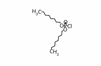 CCCCCCCCOP(=O)(Cl)OCCCCCCCC